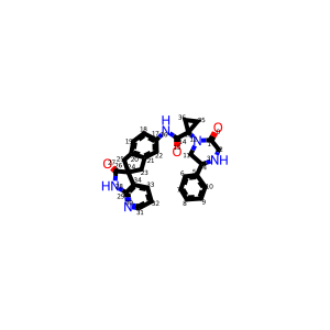 O=C1CNC(c2ccccc2)CN1C1(C(=O)Nc2ccc3c(c2)CC2(C3)C(=O)Nc3ncccc32)CC1